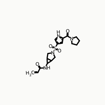 C=CC(=O)NC1C2CN(S(=O)(=O)c3c[nH]c(C(=O)N4CCCC4)c3)CC21